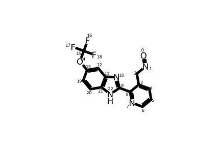 O=NCc1cccnc1-c1nc2cc(OC(F)(F)F)ccc2[nH]1